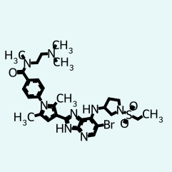 CCS(=O)(=O)N1CCC(Nc2c(Br)cnc3[nH]c(-c4cc(C)n(-c5ccc(C(=O)N(C)CCN(C)C)cc5)c4C)nc23)C1